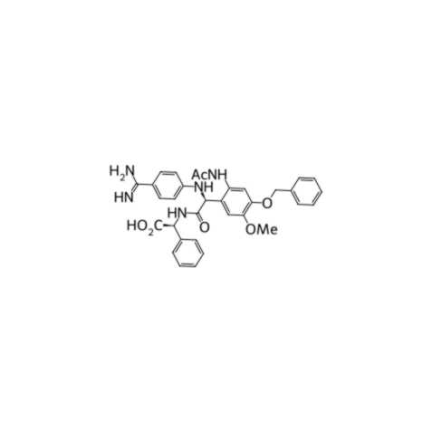 COc1cc([C@H](Nc2ccc(C(=N)N)cc2)C(=O)N[C@H](C(=O)O)c2ccccc2)c(NC(C)=O)cc1OCc1ccccc1